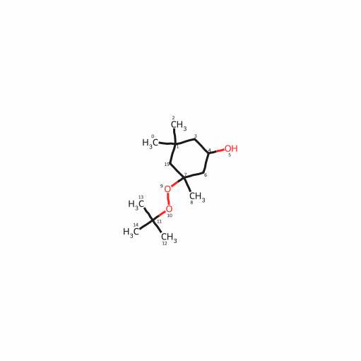 CC1(C)CC(O)CC(C)(OOC(C)(C)C)C1